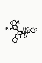 Cc1c(C(=O)NCC2(O)CCOCC2)cc(-c2cc(C(C)(C)C)c3c(c2)C2(CCO3)CC2)n1CC1CCCCC1